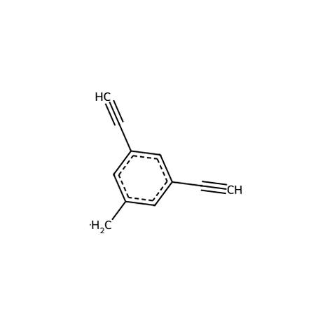 C#Cc1cc([CH2])cc(C#C)c1